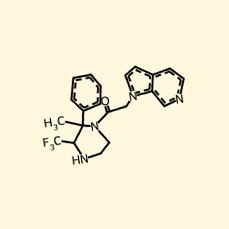 CC1(c2ccccc2)C(C(F)(F)F)NCCN1C(=O)Cn1ccc2ccncc21